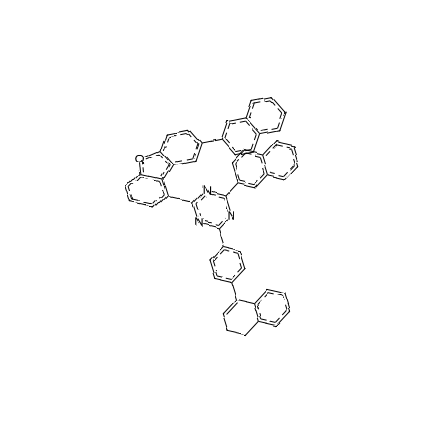 C1=C(c2ccc(-c3nc(-c4ccc5ccccc5c4)nc(-c4cccc5oc6ccc(-c7ccc8ccccc8c7)cc6c45)n3)cc2)c2ccccc2CC1